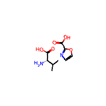 CC(C)[C@H](N)C(=O)O.O=C(O)c1ncco1